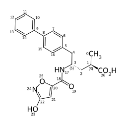 C[C@H](C[C@@H](Cc1ccc(-c2ccccc2)cc1)NC(=O)c1cc(O)no1)C(=O)O